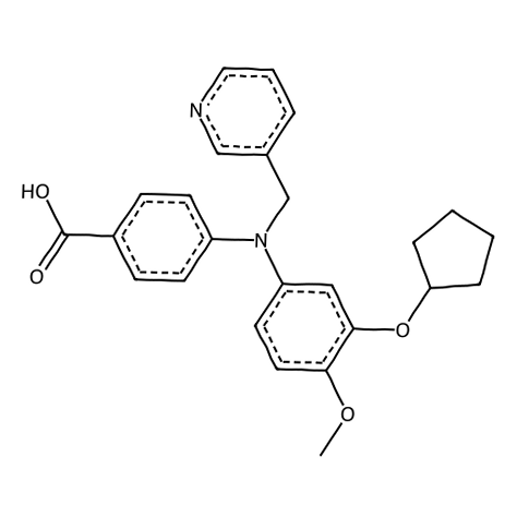 COc1ccc(N(Cc2cccnc2)c2ccc(C(=O)O)cc2)cc1OC1CCCC1